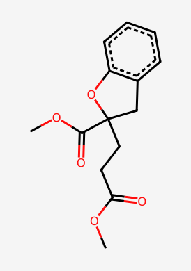 COC(=O)CCC1(C(=O)OC)Cc2ccccc2O1